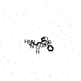 O=C(C=C(O)c1nc[nH]n1)c1ccoc1S(=O)(=O)c1ccccc1